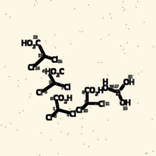 O=C(O)C(Cl)Cl.O=C(O)C(Cl)Cl.O=C(O)C(Cl)Cl.O=C(O)C(Cl)Cl.OB(O)O